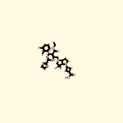 CCOC(=O)C1=C(CN2CC(F)(F)C3C2CCN3C2CC(C(=O)O)C2)NC(c2nccs2)=N[C@H]1c1cccc(F)c1C